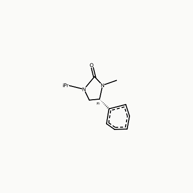 CC(C)N1C[C@@H](c2ccccc2)N(C)C1=O